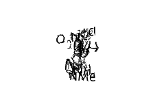 CNC(=O)Nc1ccc(S(=O)(=O)NC(=O)c2cc(Cl)ccc2[N+](=O)[O-])cc1